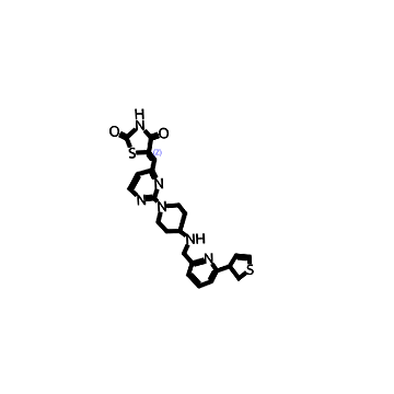 O=C1NC(=O)/C(=C/c2ccnc(N3CCC(NCc4cccc(C5C=CSC5)n4)CC3)n2)S1